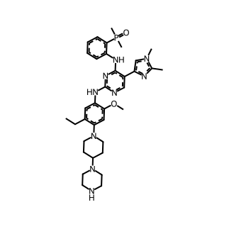 CCc1cc(Nc2ncc(-c3cn(C)c(C)n3)c(Nc3ccccc3P(C)(C)=O)n2)c(OC)cc1N1CCC(N2CCNCC2)CC1